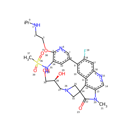 CC(C)NCCOc1ncc(-c2cc3c4c(cnc3cc2F)N(C)C(=O)C42CN(C[C@H](O)CO)C2)cc1NS(C)(=O)=O